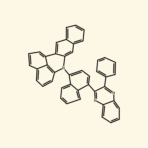 c1ccc(-c2nc3ccccc3nc2-c2ccc(N3c4cc5ccccc5cc4-c4cccc5cccc3c45)c3ccccc23)cc1